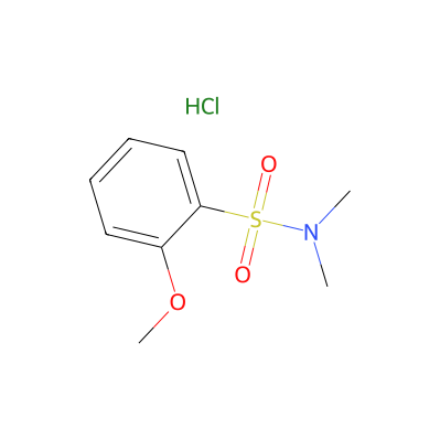 COc1ccccc1S(=O)(=O)N(C)C.Cl